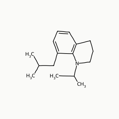 CC(C)Cc1cccc2c1N(C(C)C)CCC2